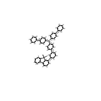 CC1(C)c2cccnc2-c2cccc(-c3cccc(-c4ccc(N(c5ccc(-c6ccccc6)cc5)c5ccc(-c6ccccc6)cc5)cc4)c3)c21